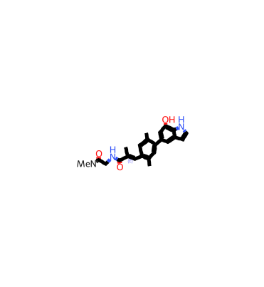 CNC(=O)CNC(=O)/C(C)=C/c1cc(C)c(-c2cc(O)c3[nH]ccc3c2)cc1C